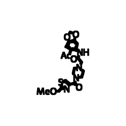 COCc1nc(C(=O)N2CCN(CC(=O)Nc3cc4c(cc3C(C)=O)OCO4)CC2)cs1